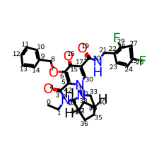 CCN1C(=O)c2c(OCc3ccccc3)c(=O)c(C(=O)NCc3ccc(F)cc3F)cn2N2C[C@@H]3CC[C@@H](C3)[C@@H]12